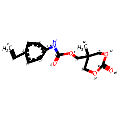 C=Cc1ccc(NC(=O)OCC2(C)COC(=O)OC2)cc1